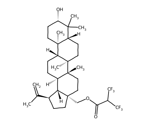 C=C(C)[C@@H]1CC[C@]2(COC(=O)C(C(F)(F)F)C(F)(F)F)CC[C@]3(C)[C@H](CC[C@@H]4[C@@]5(C)CC[C@H](O)C(C)(C)[C@@H]5CC[C@]43C)[C@@H]12